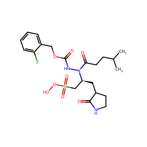 CC(C)CCC(=O)N(NC(=O)OCc1ccccc1F)[C@@H](CC1CCNC1=O)CS(=O)(=O)OO